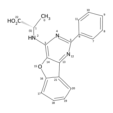 C[C@H](Nc1nc(-c2ccccc2)nc2c1oc1ccccc12)C(=O)O